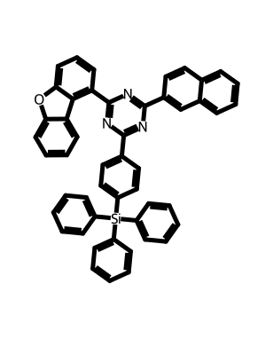 c1ccc([Si](c2ccccc2)(c2ccccc2)c2ccc(-c3nc(-c4ccc5ccccc5c4)nc(-c4cccc5oc6ccccc6c45)n3)cc2)cc1